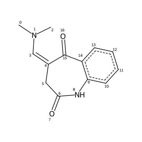 CN(C)/C=C1/CC(=O)Nc2ccccc2C1=O